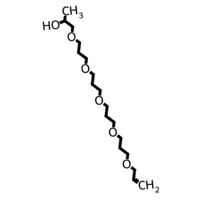 C=CCOCCCOCCCOCCCOCCCOCC(C)O